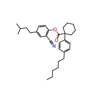 CCCCCCc1ccc(C2(C(=O)Oc3ccc(CCC(C)C)cc3C#N)CCCCC2)cc1